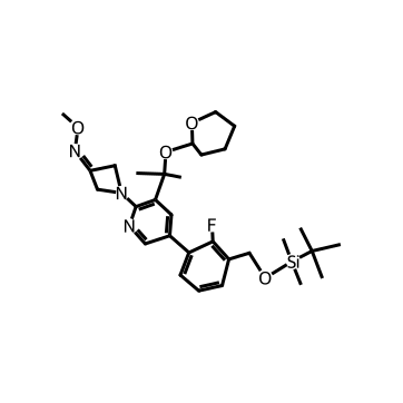 CON=C1CN(c2ncc(-c3cccc(CO[Si](C)(C)C(C)(C)C)c3F)cc2C(C)(C)OC2CCCCO2)C1